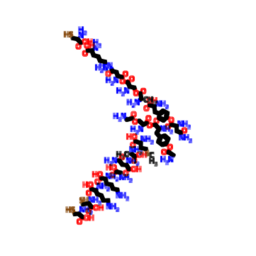 CSCC[C@H](N)C(=O)O.C[C@H](N)C(=O)O.C[C@H](N)C(=O)OC[C@H](N)C(=O)OC(=O)[C@@H](N)CC(N)=O.NC(=O)C[C@H](N)C(=O)O.NC(=O)C[C@H](N)C(=O)Oc1ccc(C[C@H](N)C(=O)O)cc1.NCC(=O)O.NCC(=O)OC[C@H](N)C(=O)OC(=O)[C@@H](N)Cc1ccc(OC(=O)CN)cc1.NCCCC[C@H](N)C(=O)O.NCCCC[C@H](N)C(=O)O.NCCCC[C@H](N)C(=O)O.N[C@@H](CS)C(=O)O.N[C@@H](CS)C(=O)O.N[C@@H](CS)C(=O)O